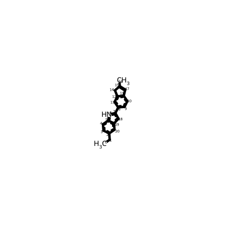 CCc1ccc2[nH]c(-c3ccc4c(c3)CC(C)=C4)cc2c1